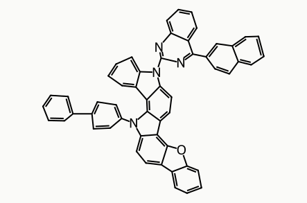 c1ccc(-c2ccc(-n3c4ccc5c6ccccc6oc5c4c4ccc5c(c6ccccc6n5-c5nc(-c6ccc7ccccc7c6)c6ccccc6n5)c43)cc2)cc1